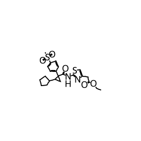 CCOC(=O)Cc1csc(NC(=O)C2(c3ccc(S(C)(=O)=O)cc3)CC2C2CCCC2)n1